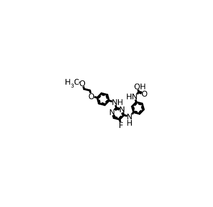 COCCOc1ccc(Nc2ncc(F)c(Nc3cccc(NC(=O)O)c3)n2)cc1